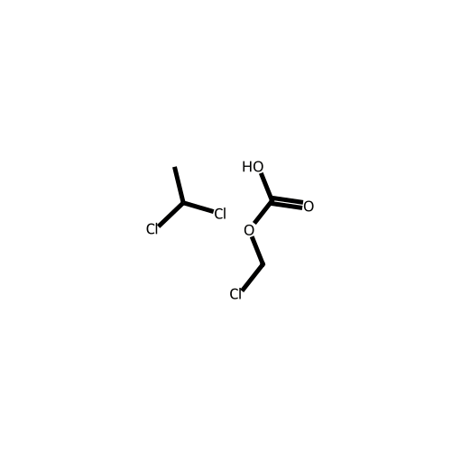 CC(Cl)Cl.O=C(O)OCCl